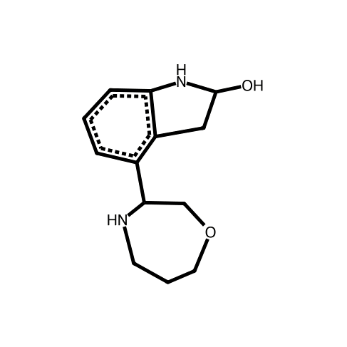 OC1Cc2c(cccc2C2COCCCN2)N1